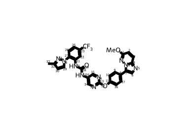 COc1ccc2ncc(-c3ccc(Oc4ncc(NC(=O)Nc5cc(C(F)(F)F)ccc5-n5ccc(C)n5)cn4)cc3)n2n1